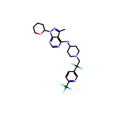 Cc1nn(C2CCCCO2)c2ncnc(NC3CCN(CC(F)(F)c4ccc(C(F)(F)F)nc4)CC3)c12